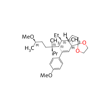 CC[C@@H]1[C@@H]([C@@](C)(CC[C@@H](C)OC)C(C)C)C(c2ccc(OC)cc2)=C[C@@]2(C)[C@H]1CCC21OCCO1